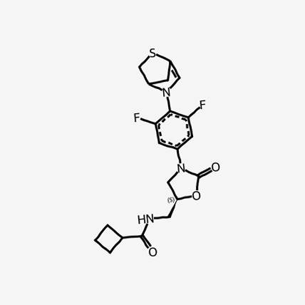 O=C(NC[C@H]1CN(c2cc(F)c(N3C=C4CC3CS4)c(F)c2)C(=O)O1)C1CCC1